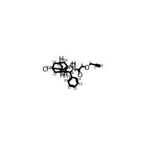 C#CCOCC(=O)NC(c1ccccc1)[C@H]1[C@H]2C[C@@H]3C[C@](Cl)(C2)C[C@@]1(Cl)C3